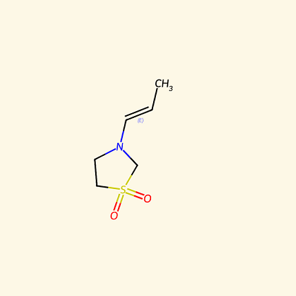 C/C=C/N1CCS(=O)(=O)C1